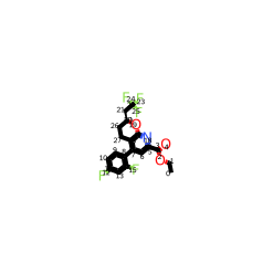 CCOC(=O)c1cc(-c2ccc(F)cc2F)c2c(n1)O[C@H](CC(F)(F)F)CC2